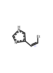 CC/C=[C]\c1c[nH]cn1